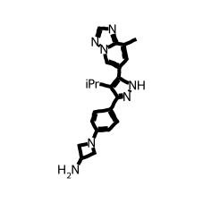 Cc1cc(-c2[nH]nc(-c3ccc(N4CC(N)C4)cc3)c2C(C)C)cn2ncnc12